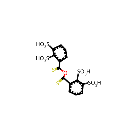 O=S(=O)(O)c1cccc(C(=S)OC(=S)c2cccc(S(=O)(=O)O)c2S(=O)(=O)O)c1S(=O)(=O)O